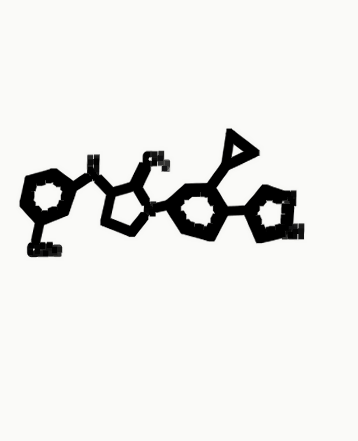 C=C1C(Nc2cccc(OC)c2)CCN1c1ccc(-c2cn[nH]c2)c(C2CC2)c1